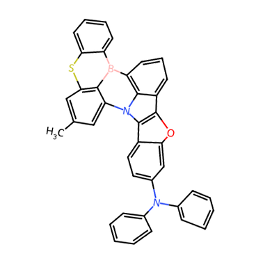 Cc1cc2c3c(c1)-n1c4c(cccc4c4oc5cc(N(c6ccccc6)c6ccccc6)ccc5c41)B3c1ccccc1S2